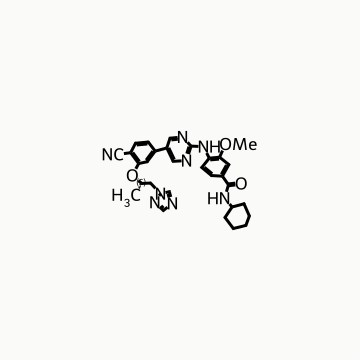 COc1cc(C(=O)NC2CCCCC2)ccc1Nc1ncc(-c2ccc(C#N)c(O[C@@H](C)Cn3cncn3)c2)cn1